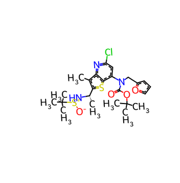 Cc1c([C@H](C)N[S+]([O-])C(C)(C)C)sc2c(N(Cc3ccco3)C(=O)OC(C)(C)C)cc(Cl)nc12